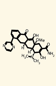 CO[C@@]12CC(C(N)=O)=C(O)[C@@H](N(C)C)[C@@H]1C[C@@H]1Cc3c(cccc3-c3cnccn3)C(=O)C1=C2O